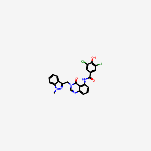 Cn1nc(Cn2cnc3cccc(NC(=O)c4cc(Cl)c(O)c(Cl)c4)c3c2=O)c2ccccc21